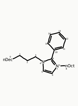 CCCCCCCCCCCCCn1cc[n+](CCCCCCCC)c1-c1ccccc1